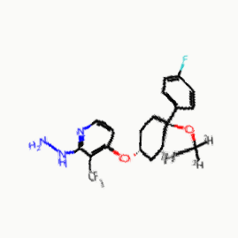 [2H]C([2H])([2H])O[C@]1(c2ccc(F)cc2)CC[C@@H](Oc2ccnc(NN)c2C(F)(F)F)CC1